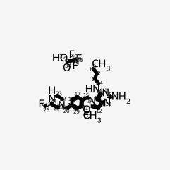 CCCCCNc1nc(N)nc2ccn(Cc3ccc(CN4CCN[C@@H](CF)C4)cc3OC)c12.O=C(O)C(F)(F)F